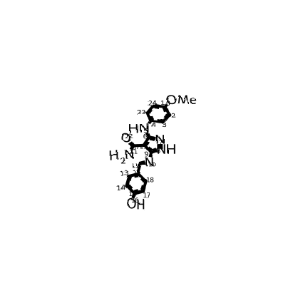 COc1ccc(Nc2n[nH]c(N=Cc3ccc(O)cc3)c2C(N)=O)cc1